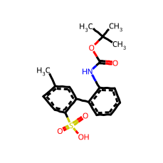 Cc1ccc(S(=O)(=O)O)c(-c2ccccc2NC(=O)OC(C)(C)C)c1